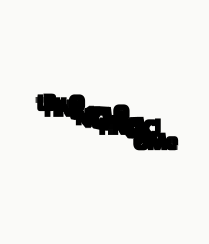 COc1cc(NC(=O)C2CCC3(CC2)CN(CC(=O)NC(C)(C)C)C3)ccc1Cl